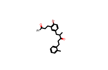 Cc1ccccc1CCC(=O)C(C)Cc1ccc(Br)c(CCC(=O)C(C)C)c1